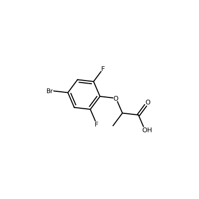 CC(Oc1c(F)cc(Br)cc1F)C(=O)O